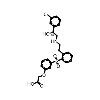 O=C(O)COc1cccc(S(=O)(=O)c2ccccc2CCNC[C@@H](O)c2cccc(Cl)c2)c1